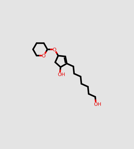 OCCCCCCCC1=CC(OC2CCCCO2)CC1O